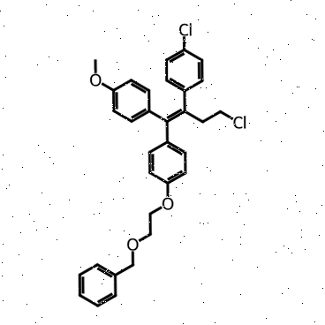 COc1ccc(C(=C(CCCl)c2ccc(Cl)cc2)c2ccc(OCCOCc3ccccc3)cc2)cc1